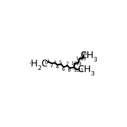 [CH2]CCCCCCCCC(CC)CCCCC